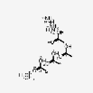 CC(=O)O.CC(=O)O.CC(=O)O.CC(=O)O.N.N.N.N.N.O